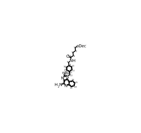 CCCCCCCCCCCCCCC(=O)NCc1ccc(Cn2c(CCCC)nc3c(N)nc4ccccc4c32)cc1